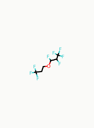 FC(OCCC(F)(F)F)C(F)C(F)(F)F